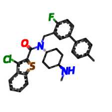 CN[C@H]1CC[C@H](N(Cc2cc(-c3ccc(C)cc3)ccc2F)C(=O)c2sc3ccccc3c2Cl)CC1